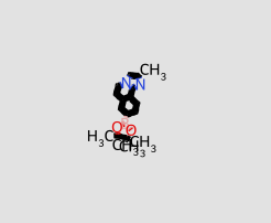 Cc1cn2ccc3cc(B4OC(C)(C)C(C)(C)O4)ccc3c2n1